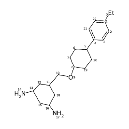 CCc1ccc(C2CCC(OCC3CC(N)CC(N)C3)CC2)cc1